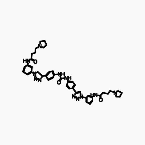 O=C(CCCN1CCCC1)Nc1cccc(N2CC(c3ccc(NC(=O)Nc4ccc(-c5cn(-c6cccc(NC(=O)CCCN7CCCC7)c6)nn5)cc4)cc3)N=N2)c1